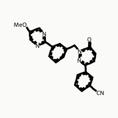 COc1cnc(-c2cccc(Cn3nc(-c4cccc(C#N)c4)ccc3=O)c2)nc1